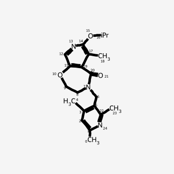 Cc1cc(C)c(CN2CCOc3cnc(OC(C)C)c(C)c3C2=O)c(C)n1